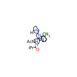 CC(=O)NC(CCN1C2CC[C@H]1CC(n1c(C)nc3c1CCN(C(=O)C(C)C)C3)C2)c1cccc(F)c1